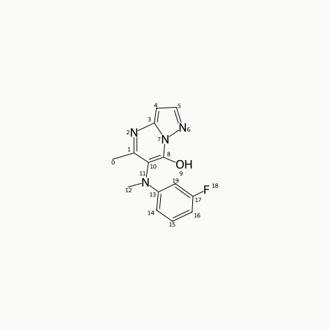 Cc1nc2ccnn2c(O)c1N(C)c1cccc(F)c1